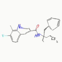 Cc1c(F)ccc2cc(C(=O)NC(C)(Cc3ccccc3)CC(F)(F)F)cnc12